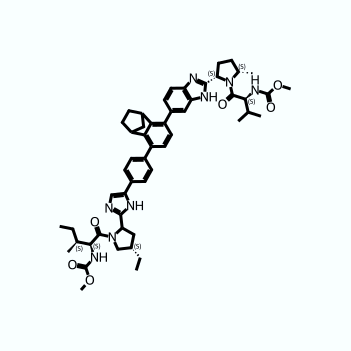 CC[C@H]1CC(c2ncc(-c3ccc(-c4ccc(-c5ccc6nc([C@@H]7CC[C@H](C)N7C(=O)[C@@H](NC(=O)OC)C(C)C)[nH]c6c5)c5c4C4CCC5C4)cc3)[nH]2)N(C(=O)[C@@H](NC(=O)OC)[C@@H](C)CC)C1